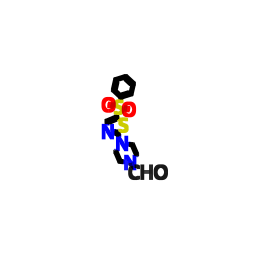 O=CN1CCN(c2ncc(S(=O)(=O)c3ccccc3)s2)CC1